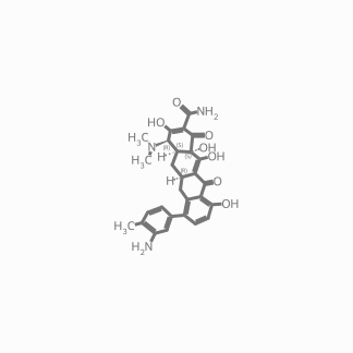 Cc1ccc(-c2ccc(O)c3c2C[C@H]2C[C@H]4[C@@H](N(C)C)C(O)=C(C(N)=O)C(=O)[C@@]4(O)C(O)=C2C3=O)cc1N